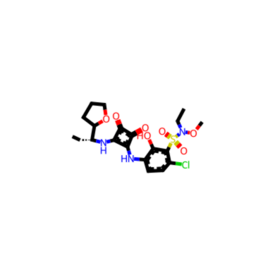 CC[C@@H](Nc1c(Nc2ccc(Cl)c(S(=O)(=O)N(CC)OC)c2O)c(=O)c1=O)C1CCCO1